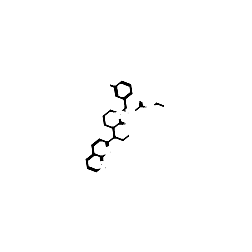 CCOC(=O)C[C@@H](c1cccc(F)c1)N1CCCC(C(CC)c2ccc3cccnc3n2)C1=O